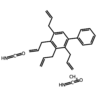 C.C=CCc1cc(-c2ccccc2)c(CC=C)c(CC=C)c1CC=C.N=C=O.N=C=O